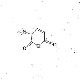 NC1C=CC(=O)OC1=O